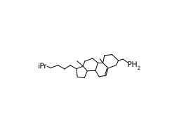 CC(C)CCCCC1CCC2C3CC=C4CC(CP)CCC4(C)C3CCC12C